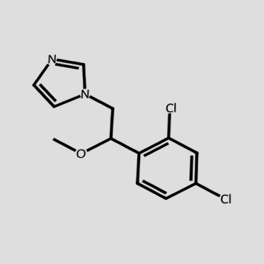 COC(Cn1ccnc1)c1ccc(Cl)cc1Cl